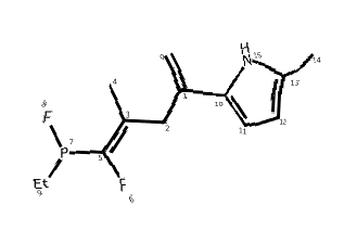 C=C(C/C(C)=C(\F)P(F)CC)c1ccc(C)[nH]1